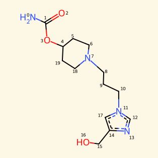 NC(=O)OC1CCN(CCCn2cnc(CO)c2)CC1